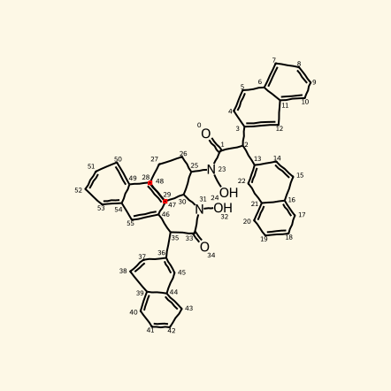 O=C(C(c1ccc2ccccc2c1)c1ccc2ccccc2c1)N(O)C1CCCCC1N(O)C(=O)C(c1ccc2ccccc2c1)c1ccc2ccccc2c1